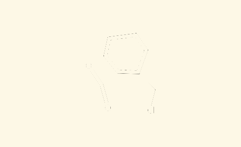 ClCc1ccccc1.O=C=O